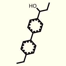 CCc1ccc(-c2ccc(C(O)CC)cc2)cc1